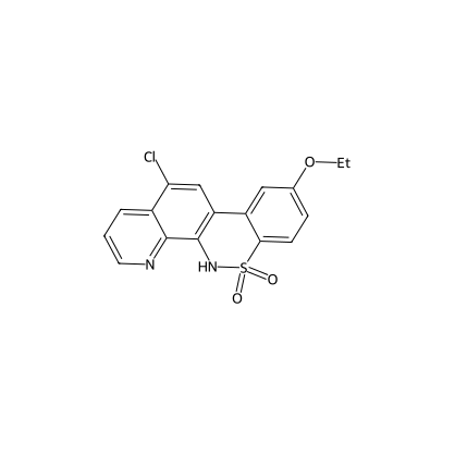 CCOc1ccc2c(c1)-c1cc(Cl)c3cccnc3c1NS2(=O)=O